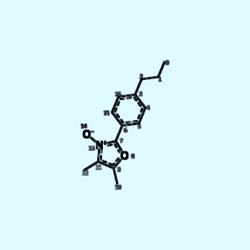 CCCc1ccc(-c2oc(C)c(C)[n+]2[O-])cc1